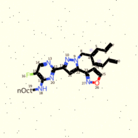 C=C/C=C\C(=C/C=C)Cn1nc(-c2ncc(F)c(NCCCCCCCC)n2)cc1-c1ccon1